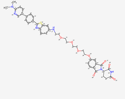 CN(C)c1ccc(-c2ccc(-c3nc4ccc(NCCOCCOCCOCCOc5ccc6c(c5)C(=O)N(C5CCC(=O)NC5=O)C6=O)cc4s3)cc2)cn1